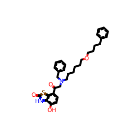 O=C(CN(CCCCCCOCCCCc1ccccc1)Cc1ccccc1)c1ccc(O)c2[nH]c(=O)sc12